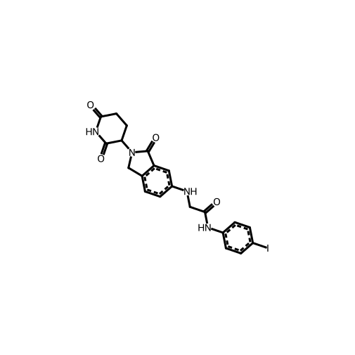 O=C1CCC(N2Cc3ccc(NCC(=O)Nc4ccc(I)cc4)cc3C2=O)C(=O)N1